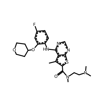 Cc1c(C(=O)N(C)CCN(C)C)sc2ncnc(Nc3ccc(F)cc3OC3CCOCC3)c12